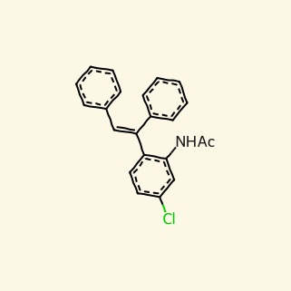 CC(=O)Nc1cc(Cl)ccc1C(=Cc1ccccc1)c1ccccc1